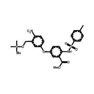 COC(=O)c1cc(Oc2ccc([N+](=O)[O-])c(CO[Si](C)(C)C(C)(C)C)c2)ccc1NS(=O)(=O)c1ccc(C)cc1